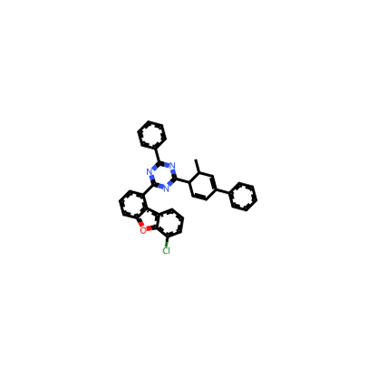 CC1C=C(c2ccccc2)C=CC1c1nc(-c2ccccc2)nc(-c2cccc3oc4c(Cl)cccc4c23)n1